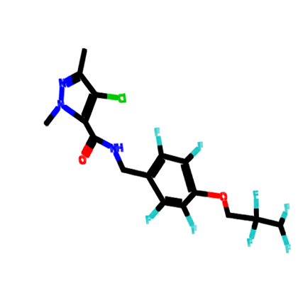 Cc1nn(C)c(C(=O)NCc2c(F)c(F)c(OCC(F)(F)C(F)F)c(F)c2F)c1Cl